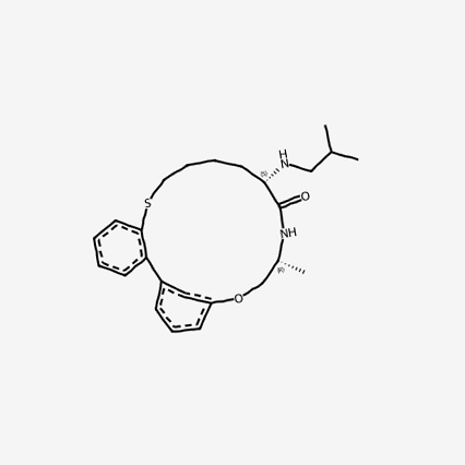 CC(C)CN[C@H]1CCCCSc2ccccc2-c2cccc(c2)OC[C@@H](C)NC1=O